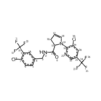 O=C(NCc1ccc(Cl)c(C(F)(F)F)c1)C1CC=CN1c1ncc(C(F)(F)F)cc1Cl